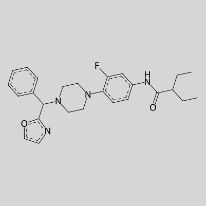 CCC(CC)C(=O)Nc1ccc(N2CCN(C(c3ccccc3)c3ncco3)CC2)c(F)c1